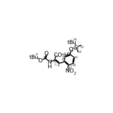 CC(C)(C)OC(=O)N/C(=C/c1cc(O[Si](C)(C)C(C)(C)C)ccc1[N+](=O)[O-])C(=O)O